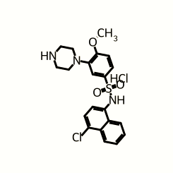 COc1ccc(S(=O)(=O)Nc2ccc(Cl)c3ccccc23)cc1N1CCNCC1.Cl